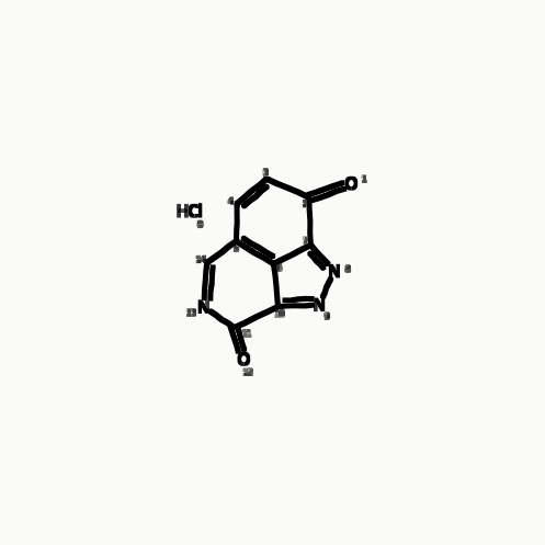 Cl.O=C1C=CC2=C3C1=NN=C3C(=O)N=C2